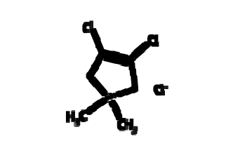 C[P+]1(C)CC(Cl)=C(Cl)C1.[Cl-]